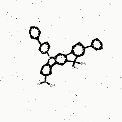 CC1(C)c2cc(-c3ccccc3)ccc2-c2cc3c(cc21)c1cc(B(O)O)ccc1n3-c1ccc(-c2ccccc2)cc1